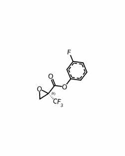 O=C(Oc1cccc(F)c1)[C@@]1(C(F)(F)F)CO1